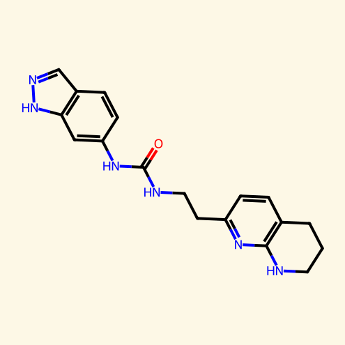 O=C(NCCc1ccc2c(n1)NCCC2)Nc1ccc2cn[nH]c2c1